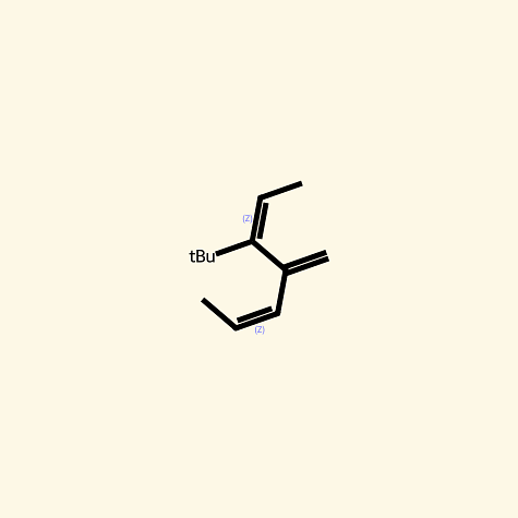 C=C(/C=C\C)/C(=C\C)C(C)(C)C